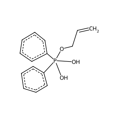 C=CCOP(O)(O)(c1ccccc1)c1ccccc1